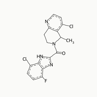 CC1c2c(Cl)ccnc2CCN1C(=O)c1nc2c(F)ccc(Cl)c2[nH]1